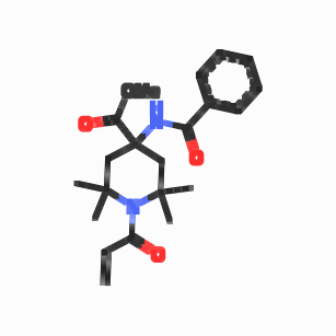 C=CC(=O)N1C(C)(C)CC(NC(=O)c2ccccc2)(C(=O)OC)CC1(C)C